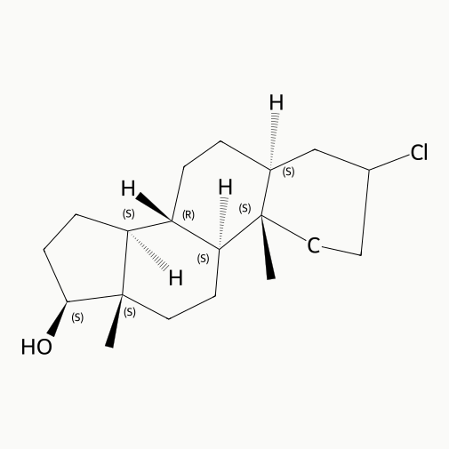 C[C@]12CCC(Cl)C[C@@H]1CC[C@@H]1[C@@H]2CC[C@]2(C)[C@@H](O)CC[C@@H]12